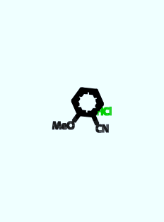 COc1ccccc1C#N.Cl